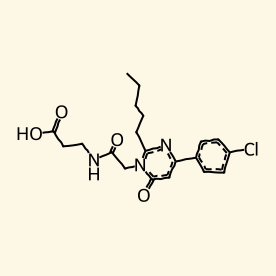 CCCCCc1nc(-c2ccc(Cl)cc2)cc(=O)n1CC(=O)NCCC(=O)O